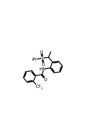 CC(C)S(=O)(=O)C(C)c1ccccc1NC(=O)c1ccccc1C(F)(F)F